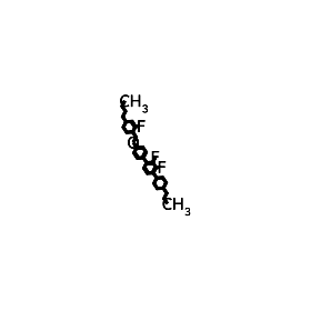 CCCCC1C=C(F)C(COc2ccc(-c3ccc(C4CCC(CCC)CC4)c(F)c3F)cc2)CC1